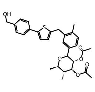 CC(=O)O[C@H]1[C@H](C)[C@@H](C)OC(c2ccc(C)c(Cc3ccc(-c4ccc(CO)cc4)s3)c2)[C@@H]1OC(C)=O